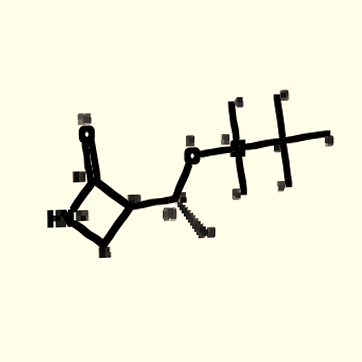 C[C@@H](O[Si](C)(C)C(C)(C)C)C1CNC1=O